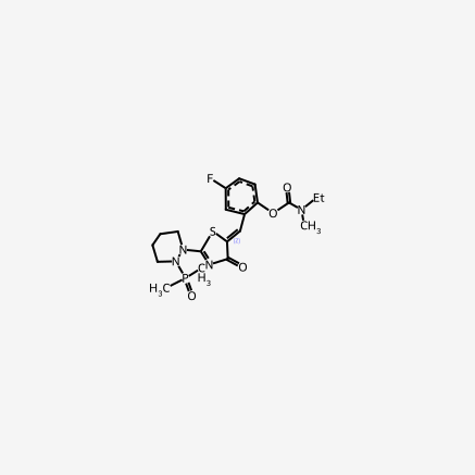 CCN(C)C(=O)Oc1ccc(F)cc1/C=C1\SC(N2CCCCN2P(C)(C)=O)=NC1=O